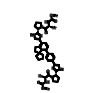 COC(=O)N[C@H](C(=O)N1CCC[C@H]1c1nc(-c2ccc(-c3ccc(-c4c[nH]c([C@@H]5CCCN5C(=O)[C@@H](NC(=O)OC)C(C)C)n4)c4c3C3(CCCC3)CC4)cc2)c[nH]1)C(C)C